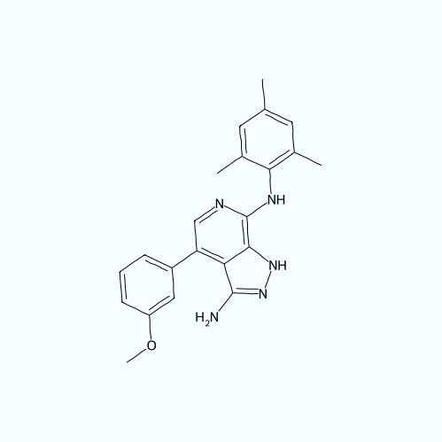 COc1cccc(-c2cnc(Nc3c(C)cc(C)cc3C)c3[nH]nc(N)c23)c1